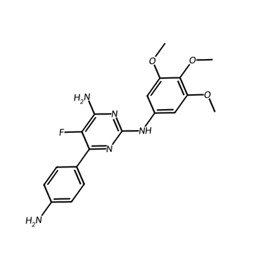 COc1cc(Nc2nc(N)c(F)c(-c3ccc(N)cc3)n2)cc(OC)c1OC